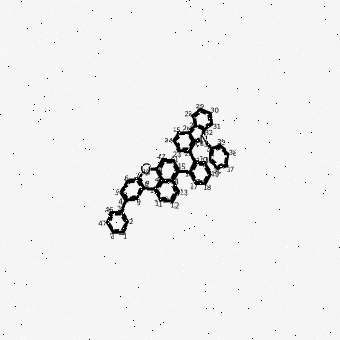 c1ccc(-c2ccc3c(c2)-c2cccc4c(-c5ccccc5-c5cccc6c7ccccc7n(-c7ccccc7)c56)ccc(c24)O3)cc1